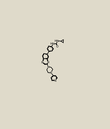 O=C(Nc1ccc(-c2ccc3ncc(N4CCN(c5ccncc5)CC4)nc3c2)cc1)NC1CC1